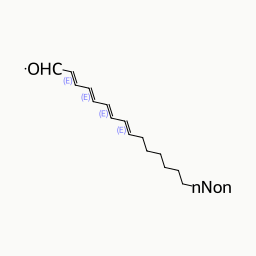 CCCCCCCCCCCCCCC/C=C/C=C/C=C/C=C/[C]=O